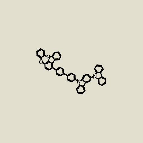 c1ccc2c(c1)Oc1ccc(-c3ccc(-c4ccc(-n5c6ccccc6c6cc(-n7c8ccccc8c8ccccc87)ccc65)cc4)cc3)c3c4ccccc4n-2c13